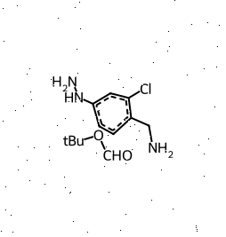 CC(C)(C)OC=O.NCc1ccc(NN)cc1Cl